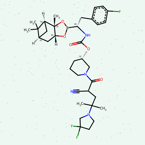 CC1(C)[C@@H]2C[C@H]3OB([C@H](Cc4ccc(F)cc4)NC(=O)O[C@H]4CCCN(C(=O)C(C#N)CC(C)(C)N5CCC(F)(F)C5)C4)O[C@@]3(C)[C@H]1C2